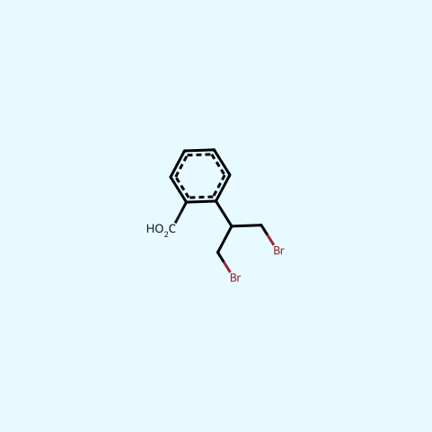 O=C(O)c1ccccc1C(CBr)CBr